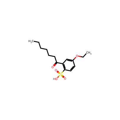 CCCCCCC(=O)c1cc(OCC)ccc1S(=O)(=O)O